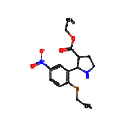 CCOC(=O)C1CCNC1c1cc([N+](=O)[O-])ccc1SCC